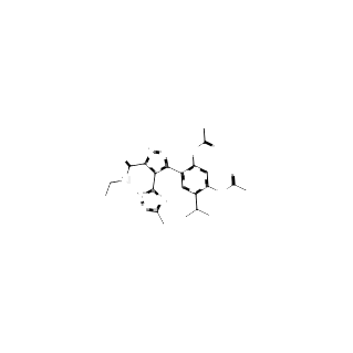 CCNC(=O)c1noc(-c2cc(C(C)C)c(OC(C)=O)cc2OC(C)=O)c1-c1noc(C)n1